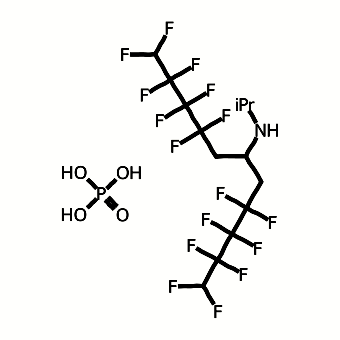 CC(C)NC(CC(F)(F)C(F)(F)C(F)(F)C(F)F)CC(F)(F)C(F)(F)C(F)(F)C(F)F.O=P(O)(O)O